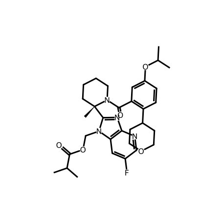 CC(C)Oc1ccc(C2CCOCC2)c(C(=O)N2CCCC[C@@]2(C)c2nc3ncc(F)cc3n2COC(=O)C(C)C)c1